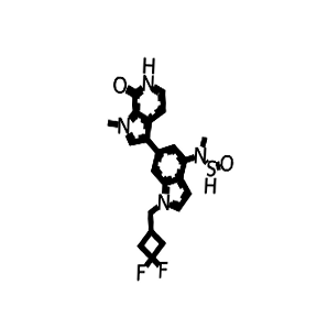 CN([SH]=O)c1cc(-c2cn(C)c3c(=O)[nH]ccc23)cc2c1ccn2CC1CC(F)(F)C1